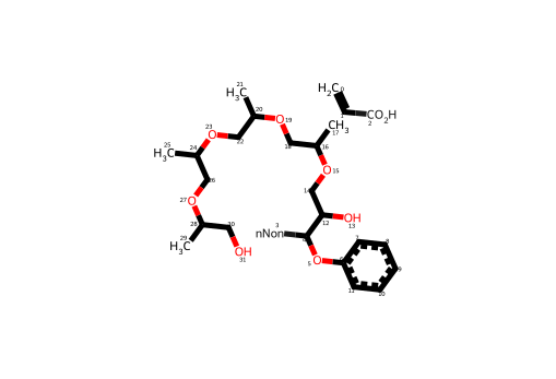 C=CC(=O)O.CCCCCCCCCC(Oc1ccccc1)C(O)COC(C)COC(C)COC(C)COC(C)CO